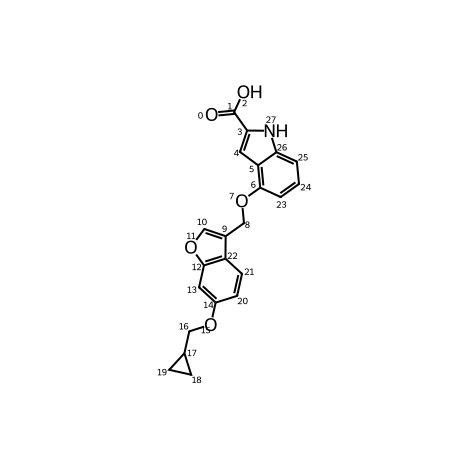 O=C(O)c1cc2c(OCc3coc4cc(OCC5CC5)ccc34)cccc2[nH]1